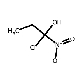 CCC(O)(Cl)[N+](=O)[O-]